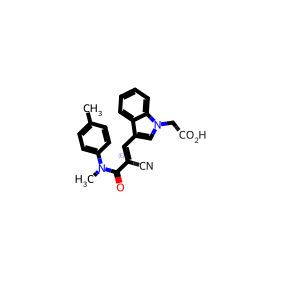 Cc1ccc(N(C)C(=O)/C(C#N)=C/c2cn(CC(=O)O)c3ccccc23)cc1